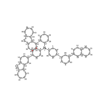 c1cc(-c2ccc(N(c3ccc(-c4ccc5oc6ccccc6c5c4)cc3)c3ccccc3-c3cccc4sc5ccccc5c34)cc2)cc(-c2ccc3ccccc3c2)c1